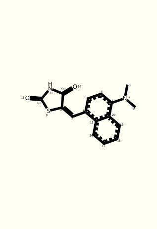 CN(C)c1ccc(C=C2SC(=O)NC2=O)c2ccccc12